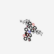 CC(C)(C)c1ccc2c(c1)C1(c3cc(C(C)(C)C)ccc3O2)c2ccccc2-c2c(N(c3ccc4c(c3)C3(c5ccccc5Oc5ccccc53)c3ccccc3-4)c3ccccc3-c3ccccc3)cccc21